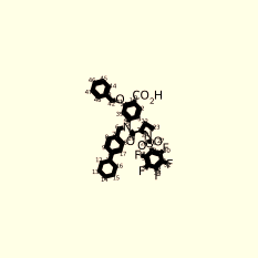 O=C(O)c1ccc(N(Cc2ccc(C3CCCCC3)cc2)C(=O)[C@H]2CCN2S(=O)(=O)c2c(F)c(F)c(F)c(F)c2F)cc1OCc1ccccc1